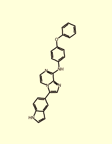 c1ccc(Oc2ccc(Nc3nccn4c(-c5ccc6[nH]ccc6c5)cnc34)cc2)cc1